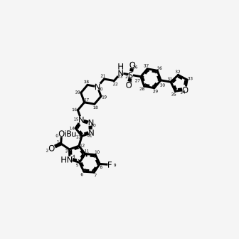 CC(C)COC(=O)c1[nH]c2ccc(F)cc2c1-c1cn(CC2CCN(CCNS(=O)(=O)c3ccc(-c4ccoc4)cc3)CC2)nn1